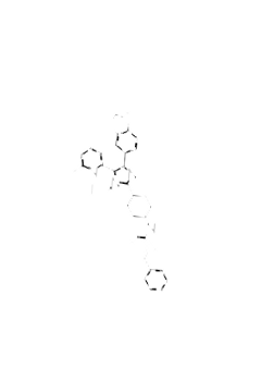 Cc1cccc(-c2c(-c3ccc4c(c3)OCO4)nc(C3CCC(NC(=O)OCc4ccccc4)CC3)n2O)n1